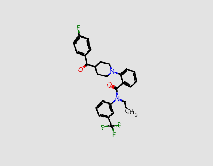 CCN(C(=O)c1ccccc1N1CCC(C(=O)c2ccc(F)cc2)CC1)c1cccc(C(F)(F)F)c1